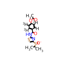 [2H]c1c([2H])c(C(=O)Nc2nc([S+]([O-])C(C)C)cs2)c([2H])c([2H])c1OC(C)=O